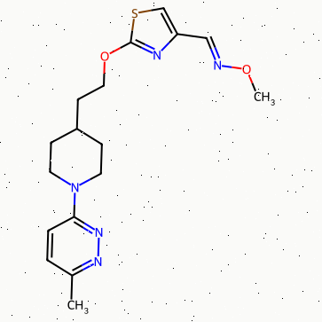 CON=Cc1csc(OCCC2CCN(c3ccc(C)nn3)CC2)n1